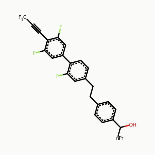 CCCC(O)c1ccc(CCc2ccc(-c3cc(F)c(C#CC(F)(F)F)c(F)c3)c(F)c2)cc1